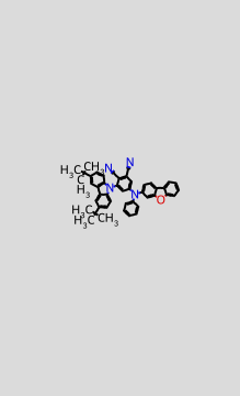 CC(C)(C)c1ccc2c(c1)c1cc(C(C)(C)C)ccc1n2-c1cc(N(c2ccccc2)c2ccc3c(c2)oc2ccccc23)cc(C#N)c1C#N